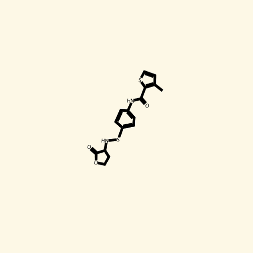 Cc1ccsc1C(=O)Nc1ccc(SNC2CCOC2=O)cc1